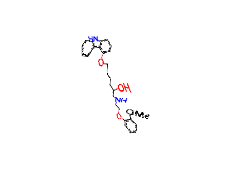 COc1ccccc1OCCNCC(O)CCCCOc1cccc2[nH]c3ccccc3c12